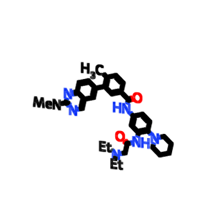 CCN(CC)CC(=O)Nc1cc(NC(=O)c2ccc(C)c(-c3ccc4nc(NC)ncc4c3)c2)ccc1N1CCCCC1